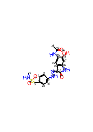 CNS(=O)(=O)Cc1ccc(N/N=C2\C(=O)Nc3cc(O)c(NC(C)=O)cc32)cc1